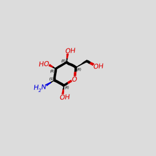 N[C@H]1[C@@H](O)[C@@H](O)[C@@H](CO)O[C@H]1O